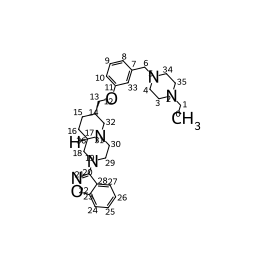 CCN1CCN(Cc2cccc(OC[C@@H]3CC[C@H]4CN(c5noc6ccccc56)CCN4C3)c2)CC1